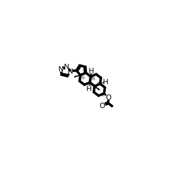 CC(=O)O[C@H]1CC[C@@]2(C)[C@@H](CC[C@H]3C4=CC=C(n5ccnn5)[C@@]4(C)CC[C@@H]32)C1